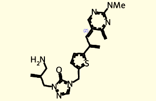 C=C(CN)Cn1ncn(Cc2ccc(C(=C)/C=c3/cnc(NC)nc3=C)s2)c1=O